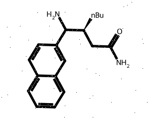 CCCC[C@@H](CC(N)=O)C(N)c1ccc2ccccc2c1